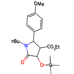 CCCCN1C(=O)C(O[Si](C)(C)C)C(C(=O)OCC)C1c1ccc(OC)cc1